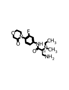 CCN(C)[C@@H](CN)C(=O)Nc1ccc(N2CCOCC2=O)c(F)c1